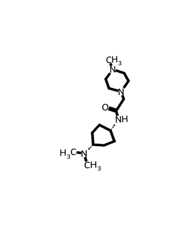 CN1CCN(CC(=O)N[C@H]2CC[C@@H](N(C)C)CC2)CC1